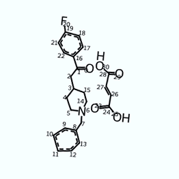 O=C(CC1CCN(Cc2ccccc2)CC1)c1ccc(F)cc1.O=C(O)C=CC(=O)O